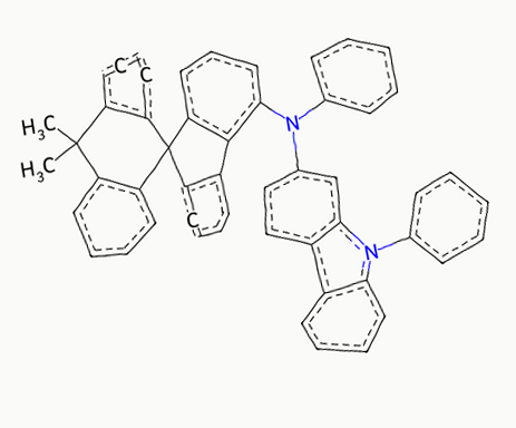 CC1(C)c2ccccc2C2(c3ccccc3-c3c(N(c4ccccc4)c4ccc5c6ccccc6n(-c6ccccc6)c5c4)cccc32)c2ccccc21